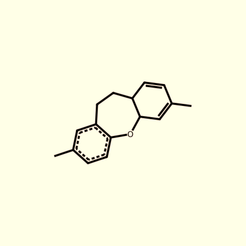 CC1=CC2Oc3ccc(C)cc3CCC2C=C1